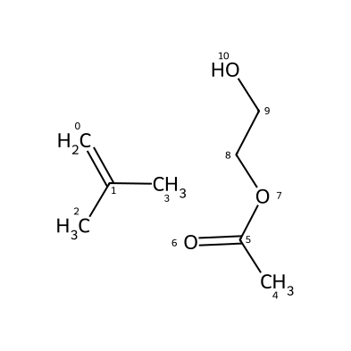 C=C(C)C.CC(=O)OCCO